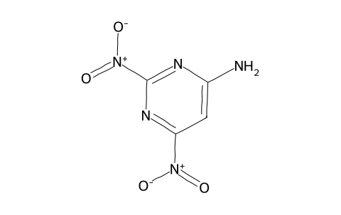 Nc1cc([N+](=O)[O-])nc([N+](=O)[O-])n1